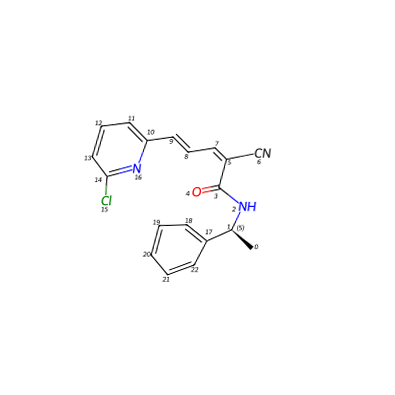 C[C@H](NC(=O)C(C#N)=CC=Cc1cccc(Cl)n1)c1ccccc1